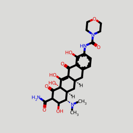 CN(C)[C@@H]1C(O)C(C(N)=O)C(=O)[C@@]2(O)C(O)=C3C(=O)c4c(ccc(NC(=O)N5CCOCC5)c4O)C[C@H]3C[C@@H]12